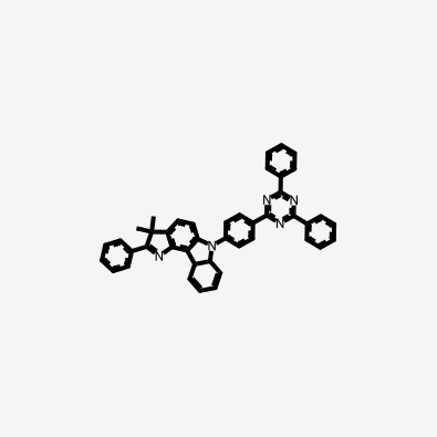 CC1(C)C(c2ccccc2)=Nc2c1ccc1c2C2C=CC=CC2N1c1ccc(-c2nc(-c3ccccc3)nc(-c3ccccc3)n2)cc1